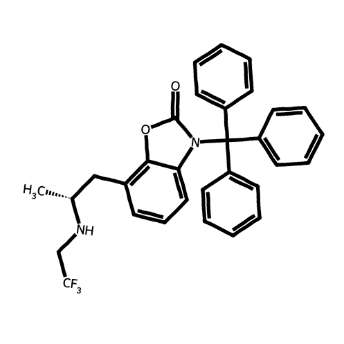 C[C@H](Cc1cccc2c1oc(=O)n2C(c1ccccc1)(c1ccccc1)c1ccccc1)NCC(F)(F)F